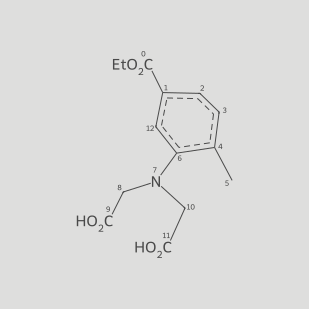 CCOC(=O)c1ccc(C)c(N(CC(=O)O)CC(=O)O)c1